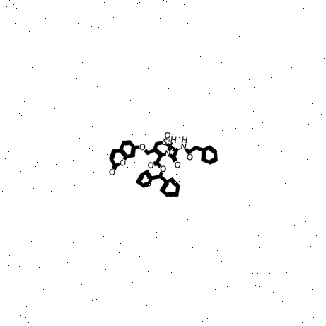 O=C(Cc1ccccc1)N[C@@H]1C(=O)N2C(C(=O)OC(c3ccccc3)c3ccccc3)=C(COc3ccc4ccc(=O)oc4c3)C[S+]([O-])[C@H]12